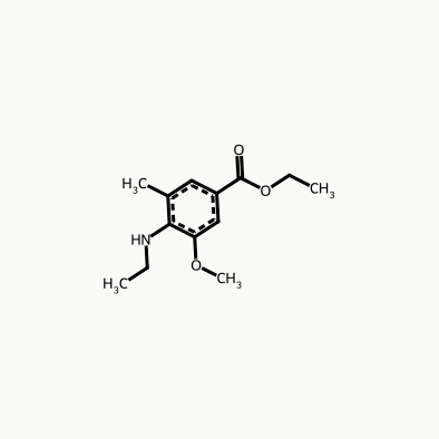 CCNc1c(C)cc(C(=O)OCC)cc1OC